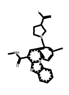 C=C(I)C1CCN(C2=c3\cc(C(=O)NC)c4nc5ccccc5n4\c3=C/C=C/C(C)=C\2)C1